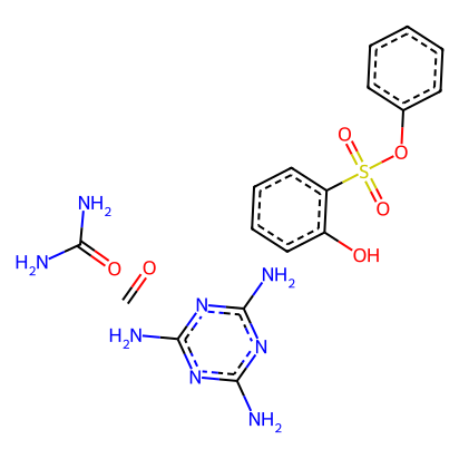 C=O.NC(N)=O.Nc1nc(N)nc(N)n1.O=S(=O)(Oc1ccccc1)c1ccccc1O